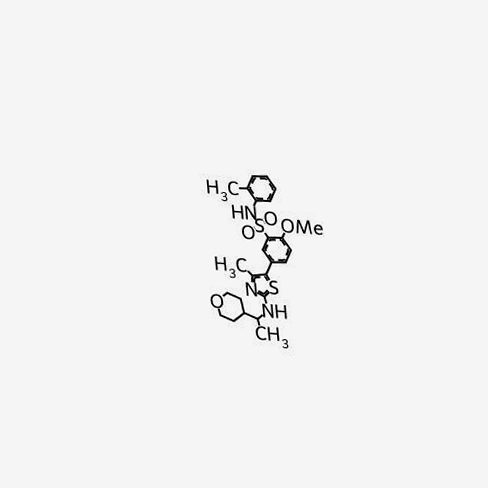 COc1ccc(-c2sc(NC(C)C3CCOCC3)nc2C)cc1S(=O)(=O)Nc1ccccc1C